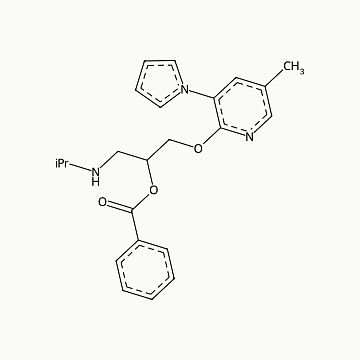 Cc1cnc(OCC(CNC(C)C)OC(=O)c2ccccc2)c(-n2cccc2)c1